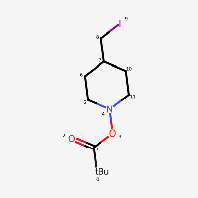 CC(C)(C)C(=O)ON1CCC(CI)CC1